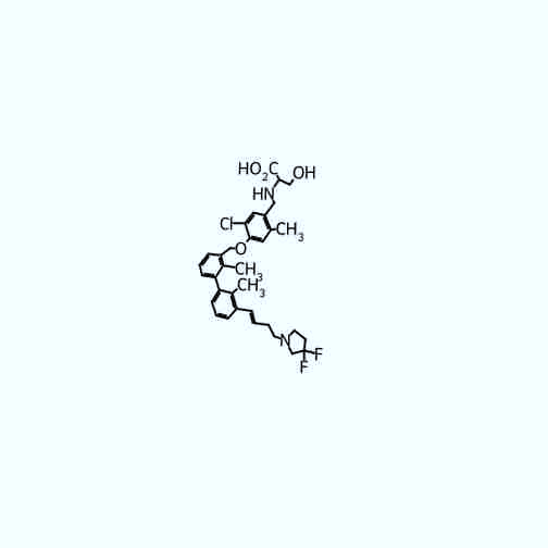 Cc1cc(OCc2cccc(-c3cccc(C=CCCN4CCC(F)(F)C4)c3C)c2C)c(Cl)cc1CNC(CO)C(=O)O